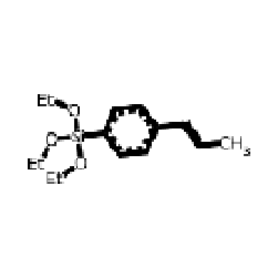 CC=Cc1ccc([Si](OCC)(OCC)OCC)cc1